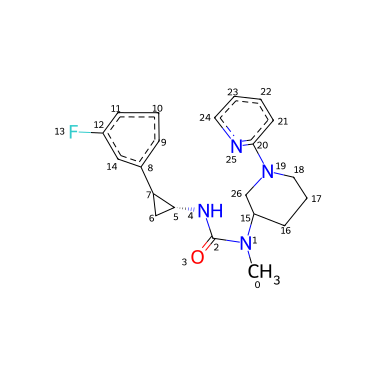 CN(C(=O)N[C@@H]1CC1c1cccc(F)c1)C1CCCN(c2ccccn2)C1